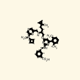 Cc1cccc(C)c1-c1cc(OCC(CCC2(C)CC2)NCc2cncc(N(C)C3CCC3)n2)nc(NSc2cccc(C(=O)O)c2)n1